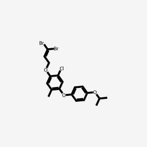 Cc1cc(OCC=C(Br)Br)c(Cl)cc1Oc1ccc(OC(C)C)cc1